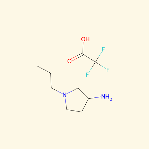 CCCN1CCC(N)C1.O=C(O)C(F)(F)F